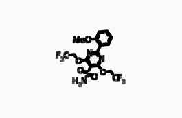 COc1ccccc1-c1nc(OCC(F)(F)F)c(S(N)(=O)=O)c(OCC(F)(F)F)n1